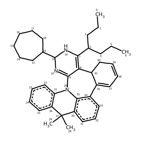 CCCC(CCC)C1=C2C(=NC(C3CCCCCC3)N1)N1c3ccccc3C(C)(C)c3cccc(c31)C1=CC=CCC12